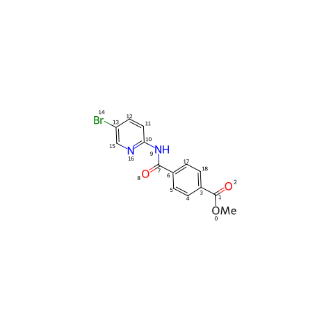 COC(=O)c1ccc(C(=O)Nc2ccc(Br)cn2)cc1